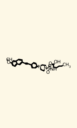 CCCCC(NS(=O)(=O)N1CCN(c2ccc(C#Cc3ccc4cc(OC)ccc4c3)cc2)CC1)C(=O)O